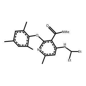 CCC(CC)Nc1cc(C)nc(Oc2c(C)cc(C)cc2C)c1C(=O)NC